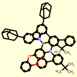 CC(C)(C)c1ccc(N2c3cc4c(cc3B3c5c(cc6c(c52)C(C)(C)c2ccccc2-6)-c2cc(C56CC7CC(CC(C7)C5)C6)cc5c6cc(C78CC9CC(CC(C9)C7)C8)ccc6n3c25)Oc2ccccc2O4)c(-c2ccccc2)c1